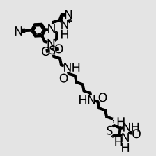 N#Cc1ccc2c(c1)CN(S(=O)(=O)CCCNC(=O)CCCCCNC(=O)CCCC[C@H]1SC[C@H]3NC(=O)N[C@H]31)CCN2Cc1cnc[nH]1